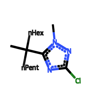 CCCCCCC(C)(CCCCC)c1nc(Cl)nn1C